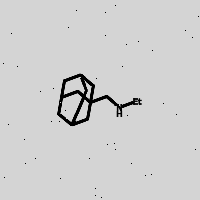 CCNCC12CC3CC(CC(C3)C1)C2